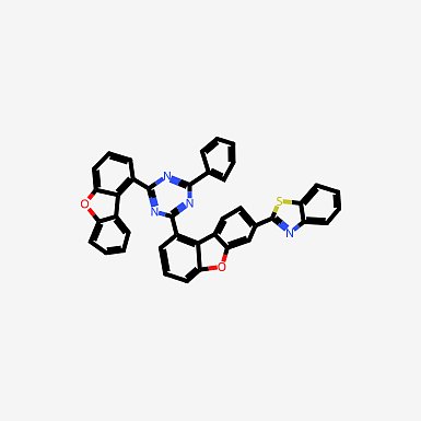 c1ccc(-c2nc(-c3cccc4oc5ccccc5c34)nc(-c3cccc4oc5cc(-c6nc7ccccc7s6)ccc5c34)n2)cc1